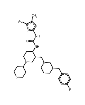 CC(=O)c1sc(NC(=O)N[C@@H]2CCN(C3CCSCC3)C[C@H]2CN2CCCC(Cc3ccc(F)cc3)C2)nc1C